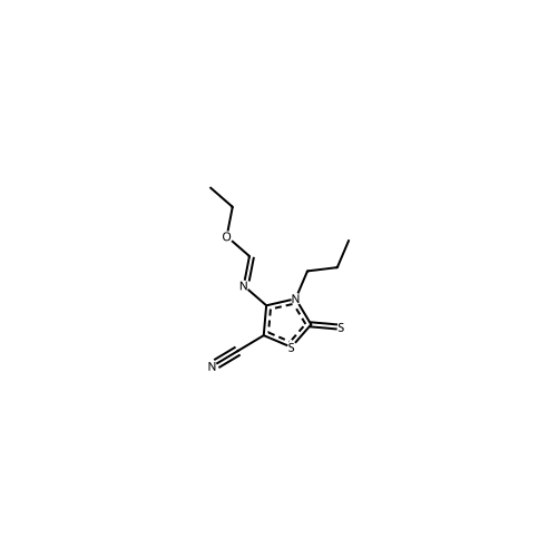 CCCn1c(N=COCC)c(C#N)sc1=S